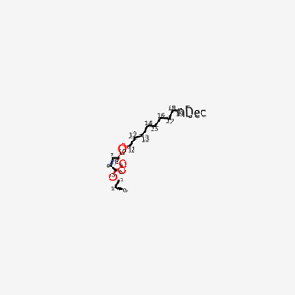 C=CCOC(=O)/C=C\C(=O)OCCCCCCCCCCCCCCCCCC